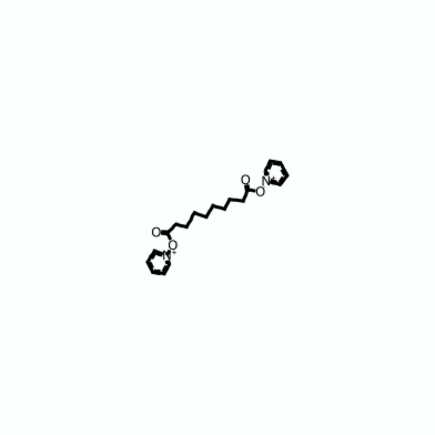 O=C(CCCCCCCCC(=O)O[n+]1ccccc1)O[n+]1ccccc1